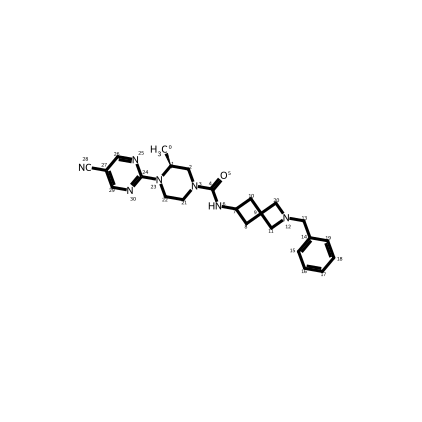 C[C@H]1CN(C(=O)NC2CC3(C2)CN(Cc2ccccc2)C3)CCN1c1ncc(C#N)cn1